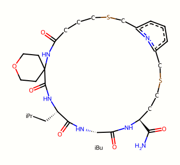 CC[C@H](C)[C@@H]1NC(=O)[C@H](CC(C)C)NC(=O)C2(CCOCC2)NC(=O)CCCSCc2cccc(n2)CSCC[C@@H](C(N)=O)NC1=O